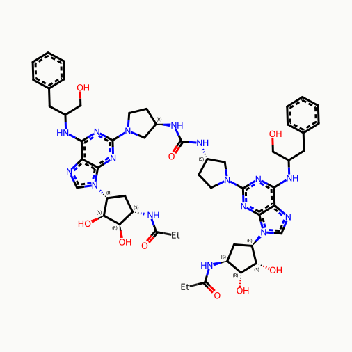 CCC(=O)N[C@H]1C[C@@H](n2cnc3c(NC(CO)Cc4ccccc4)nc(N4CC[C@@H](NC(=O)N[C@H]5CCN(c6nc(NC(CO)Cc7ccccc7)c7ncn([C@@H]8C[C@H](NC(=O)CC)[C@@H](O)[C@H]8O)c7n6)C5)C4)nc32)[C@H](O)[C@@H]1O